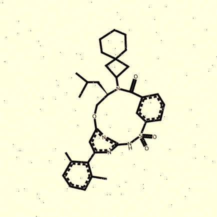 Cc1cccc(C)c1-c1cc2nc(n1)NS(=O)(=O)c1cccc(c1)C(=O)N(C1CC3(CCCCC3)C1)[C@H](CC(C)C)CO2